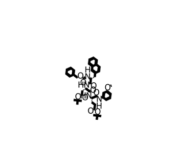 COc1cccc(NC(=O)[C@H](CCC(=O)OC(C)(C)C)NC(=O)[C@H](CC(=O)OC(C)(C)C)NC(=O)[C@@H](Cc2ccc3ccccc3c2)NC(=O)OCc2ccccc2)c1